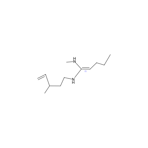 C=CC(C)CCN/C(=C/CCC)NC